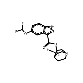 O=C(O[C@@H]1CN2CCC1CC2)c1n[nH]c2ccc(OC(F)F)cc12